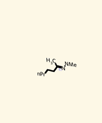 CCCCC/C(C)=N/NC